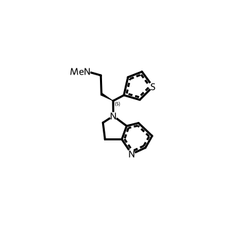 CNCC[C@@H](c1ccsc1)N1CCc2ncccc21